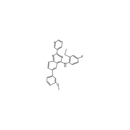 CCc1cc(F)ccc1Nc1nc(-c2cccnc2)nc2ccc(-c3cccc(OC)c3)cc12